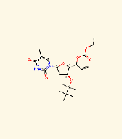 C=CC(OC(=O)OCC)[C@H]1O[C@@H](n2cc(C)c(=O)[nH]c2=O)C[C@@H]1O[Si](C)(C)C(C)(C)C